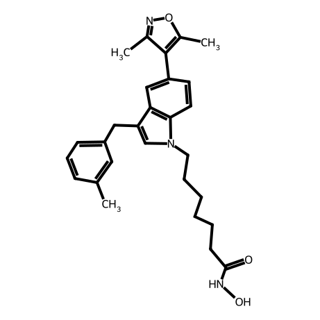 Cc1cccc(Cc2cn(CCCCCCC(=O)NO)c3ccc(-c4c(C)noc4C)cc23)c1